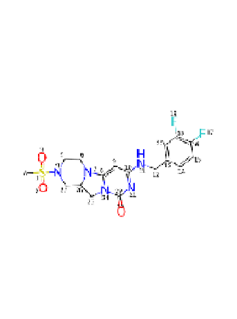 CS(=O)(=O)N1CCN2c3cc(NCc4ccc(F)c(F)c4)nc(=O)n3CC2C1